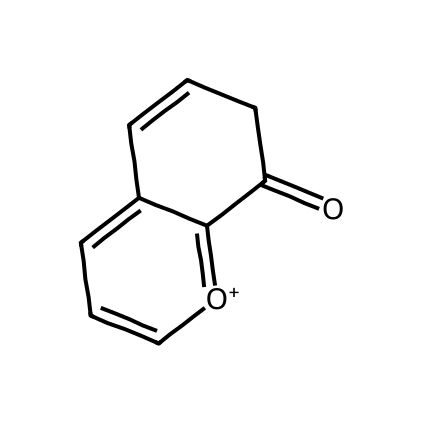 O=C1CC=Cc2ccc[o+]c21